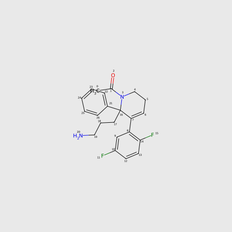 CC(=O)N1CCC=C(c2cc(F)ccc2F)C1(CCCN)c1ccccc1